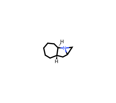 C1CC[C@H]2CC3CN3[C@@H]2CC1